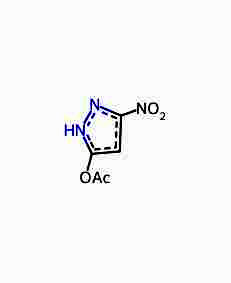 CC(=O)Oc1cc([N+](=O)[O-])n[nH]1